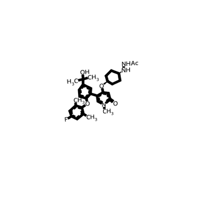 CC(=O)NN[C@H]1CC[C@H](Oc2cc(=O)n(C)cc2-c2cc(C(C)(C)O)ccc2Oc2c(C)cc(F)cc2C)CC1